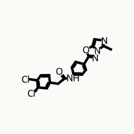 Cc1ncc2oc(-c3ccc(NC(=O)Cc4ccc(Cl)c(Cl)c4)cc3)nn12